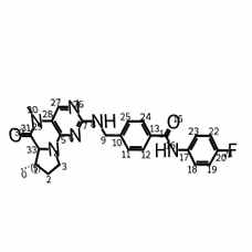 C[C@H]1CCN2c3nc(NCc4ccc(C(=O)Nc5ccc(F)cc5)cc4)ncc3N(C)C(=O)C12